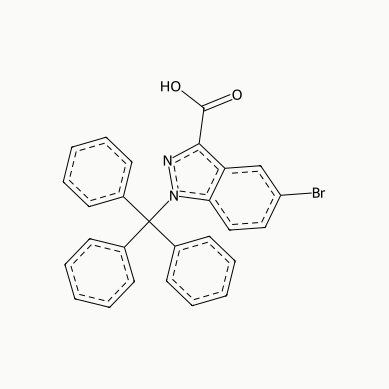 O=C(O)c1nn(C(c2ccccc2)(c2ccccc2)c2ccccc2)c2ccc(Br)cc12